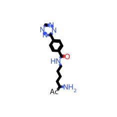 CC(=O)C(N)CCCCNC(=O)c1ccc(-c2nncnn2)cc1